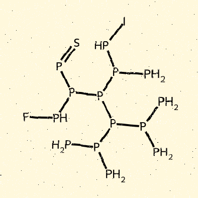 FPP(P=S)P(P(P)PI)P(P(P)P)P(P)P